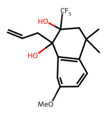 C=CCC1(O)c2cc(OC)ccc2C(C)(C)CC1(O)C(F)(F)F